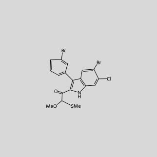 COC(SC)C(=O)c1[nH]c2cc(Cl)c(Br)cc2c1-c1cccc(Br)c1